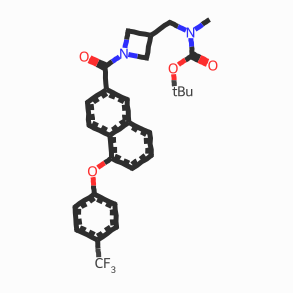 CN(CC1CN(C(=O)c2ccc3c(Oc4ccc(C(F)(F)F)cc4)cccc3c2)C1)C(=O)OC(C)(C)C